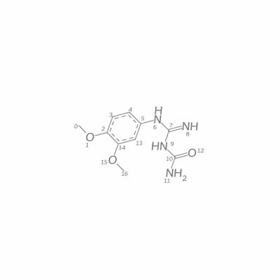 COc1ccc(NC(=N)NC(N)=O)cc1OC